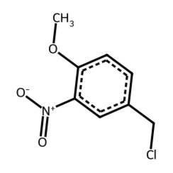 COc1ccc(CCl)cc1[N+](=O)[O-]